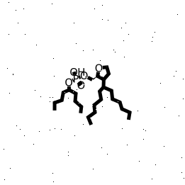 CCCCCCC(CCCCCC)C1CCO[C@H]1COP(=O)(O)OC(CCCC)CCCC